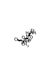 CCNCC(=O)NC(Br)C(=O)N[N+](C)CCCl